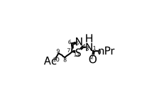 CCCC(=O)Nc1ncc(CCC(C)=O)s1